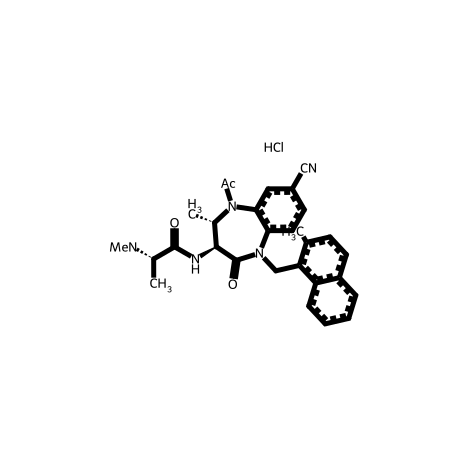 CN[C@@H](C)C(=O)N[C@@H]1C(=O)N(Cc2c(C)ccc3ccccc23)c2ccc(C#N)cc2N(C(C)=O)[C@H]1C.Cl